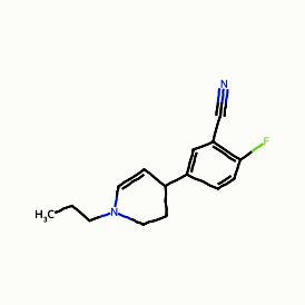 CCCN1C=CC(c2ccc(F)c(C#N)c2)CC1